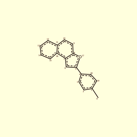 Cc1ccc(-c2cc3c(ccc4ccccc43)o2)cc1